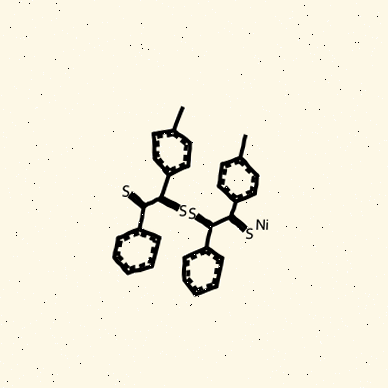 Cc1ccc(C(=S)C(=S)c2ccccc2)cc1.Cc1ccc(C(=S)C(=S)c2ccccc2)cc1.[Ni]